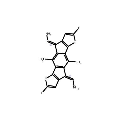 Cc1c2/c(=N/N)c3cc(F)sc3c2c(C)c2/c(=N/N)c3cc(F)sc3c12